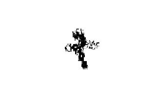 CC(=O)O[C@H]1[C@@H](OC(C)=O)[C@H](n2cc(F)c3c(Cl)ncnc32)O[C@@H]1[C@H](OC(=O)c1ccc(-c2ccccc2)cc1)c1ccc(Cl)cc1